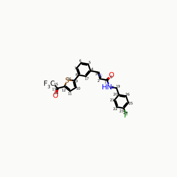 O=C(/C=C/c1cccc(-c2ccc(C(=O)C(F)(F)F)s2)c1)NCc1ccc(F)cc1